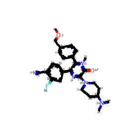 COCc1ccc(-c2c(-c3ccc(C#N)c(F)c3)nc(N3CCC(N(C)C)CC3)c(=O)n2C)cc1